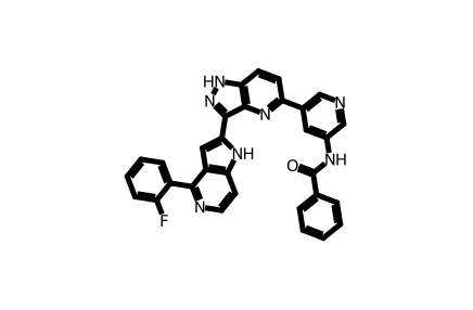 O=C(Nc1cncc(-c2ccc3[nH]nc(-c4cc5c(-c6ccccc6F)nccc5[nH]4)c3n2)c1)c1ccccc1